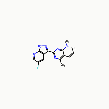 C/C=C\c1c(C)nc(-c2n[nH]c3ncc(F)cc23)nc1NC